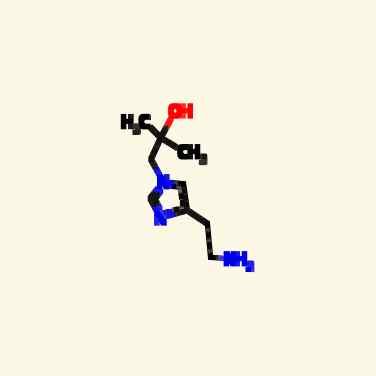 CC(C)(O)Cn1cnc(CCN)c1